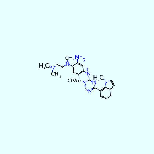 COc1cc(N(C)CCN(C)C)c(N)cc1Nc1ncnc(-c2cccc3ccn(C)c23)n1